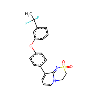 CC(F)(F)c1cccc(Oc2ccc(C3=CC=CN4CCS(=O)(=O)N=C34)cc2)c1